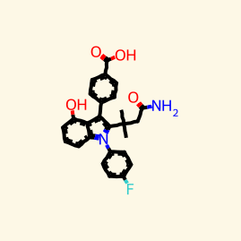 CC(C)(CC(N)=O)c1c(-c2ccc(C(=O)O)cc2)c2c(O)cccc2n1-c1ccc(F)cc1